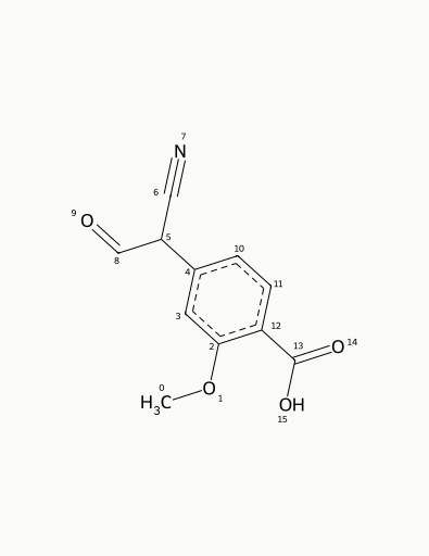 COc1cc(C(C#N)C=O)ccc1C(=O)O